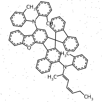 CC/C=C\C=C(/C)N(c1ccccc1C)c1cc2c(c3ccccc13)-c1c(cc(N(c3ccccc3C)c3ccccc3C)c3c1oc1ccccc13)C21c2ccccc2-c2ccccc21